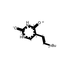 CCCCC=Cc1c[nH]c(=O)[nH]c1=O